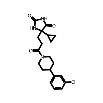 O=C1NC(=O)C(CCC(=O)N2CCC(c3cccc(Cl)c3)CC2)(C2CC2)N1